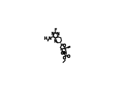 C#C[C@]1(COC(=O)OCC)O[C@@H](C2C=Nc3c(N)nc(F)nc3CC2)C[C@@H]1O